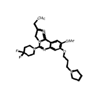 COc1cc2c(cc1OCCCN1CCCC1)N=C(N1CCC(F)(F)CC1)N1CC(COC(C)=O)N=C21